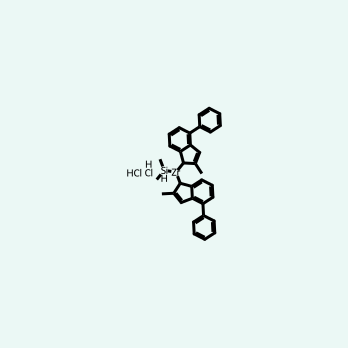 CC1=Cc2c(-c3ccccc3)cccc2[CH]1[Zr]([CH]1C(C)=Cc2c(-c3ccccc3)cccc21)[SiH](C)C.Cl.Cl